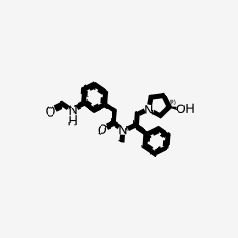 CN(C(=O)Cc1cccc(NC=O)c1)C(CN1CC[C@@H](O)C1)c1ccccc1